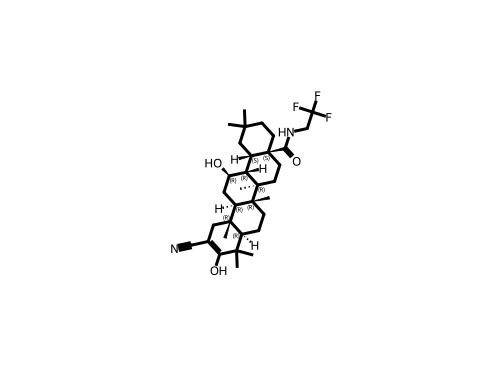 CC1(C)CC[C@]2(C(=O)NCC(F)(F)F)CC[C@]3(C)[C@H]([C@H](O)C[C@@H]4[C@@]5(C)CC(C#N)=C(O)C(C)(C)[C@@H]5CC[C@]43C)[C@@H]2C1